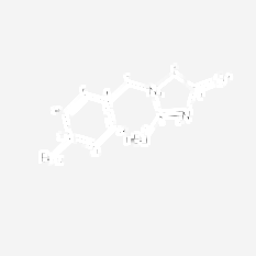 CCCCC1=NC(=O)CN1Cc1ccc(Br)cc1